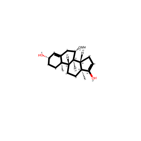 CO[C@H]1CC2=C[C@@H](O)CC[C@]2(C)[C@H]2CC[C@]3(C)C(O)=CC[C@H]3[C@H]12